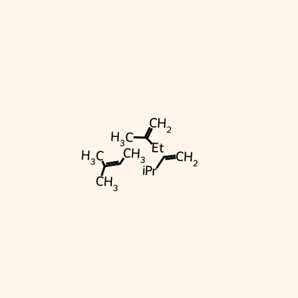 C=C(C)CC.C=CC(C)C.CC=C(C)C